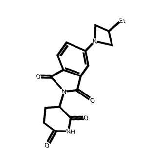 CCC1CN(c2ccc3c(c2)C(=O)N(C2CCC(=O)NC2=O)C3=O)C1